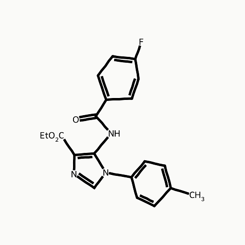 CCOC(=O)c1ncn(-c2ccc(C)cc2)c1NC(=O)c1ccc(F)cc1